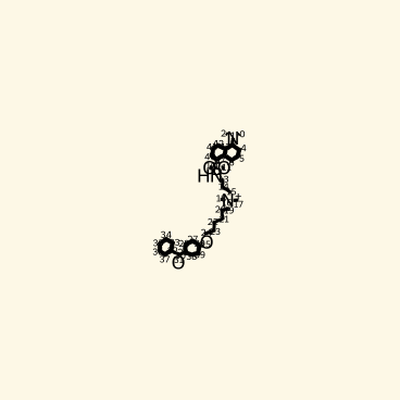 CN(C)c1cccc2c(S(=O)(=O)NCCC[N+](C)(C)CCCCCCOc3ccc(C(=O)c4ccccc4)cc3)cccc12